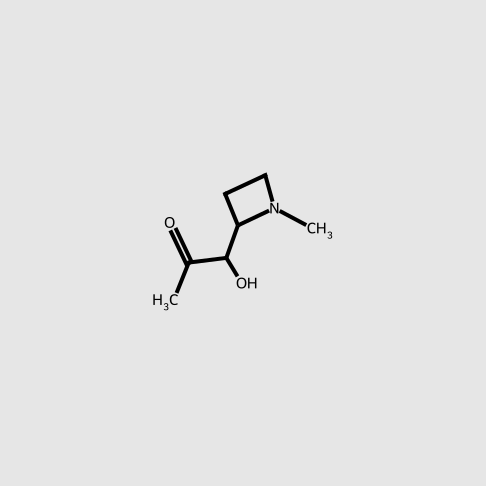 CC(=O)C(O)C1CCN1C